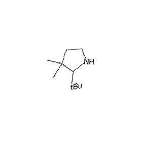 CC(C)(C)C1NCCC1(C)C